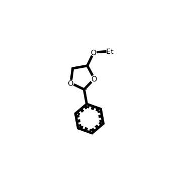 CCOC1CO[C](c2ccccc2)O1